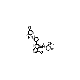 CC1(C)CNCCC1NCc1nc(-c2ccnc(Nc3ncc(Cl)cc3F)c2)nc2cncc(C3CC3)c12